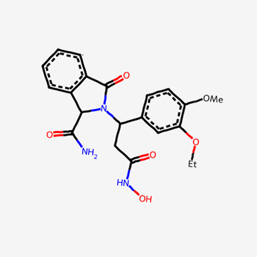 CCOc1cc(C(CC(=O)NO)N2C(=O)c3[c]cccc3C2C(N)=O)ccc1OC